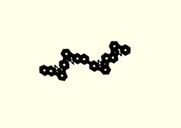 c1ccc2cc3c(cc2c1)c1cccc2c4cc5c(cc4n3c12)c1cccc2c3cc4ccc(-c6ccc7c8cccc9c%10c%11ccc%12c(c%11ccc%10n(c7c6)c89)c6cccc7c8ccccc8n%12c76)cc4cc3n5c21